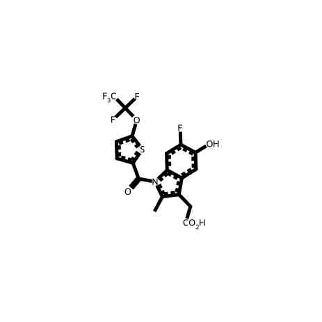 Cc1c(CC(=O)O)c2cc(O)c(F)cc2n1C(=O)c1ccc(OC(F)(F)C(F)(F)F)s1